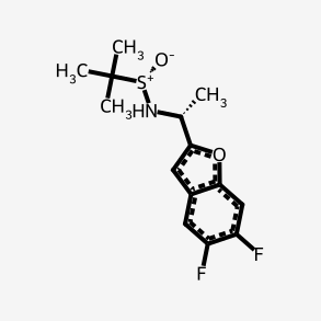 C[C@@H](N[S@@+]([O-])C(C)(C)C)c1cc2cc(F)c(F)cc2o1